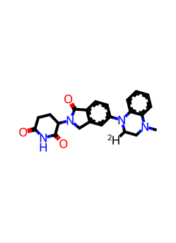 [2H]C1CN(C)c2ccccc2N1c1ccc2c(c1)CN(C1CCC(=O)NC1=O)C2=O